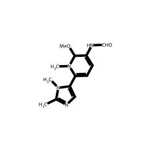 COC1C(NC=O)=CC=C(c2cnc(C)n2C)N1C